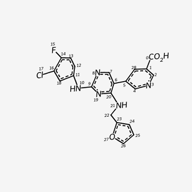 O=C(O)c1cncc(-c2cnc(Nc3ccc(F)c(Cl)c3)nc2NCc2ccco2)c1